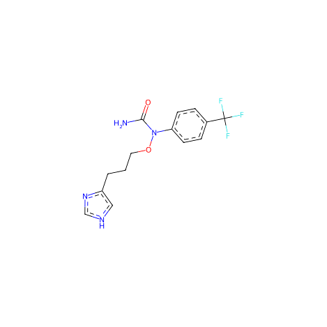 NC(=O)N(OCCCc1c[nH]cn1)c1ccc(C(F)(F)F)cc1